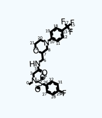 CN(CC(=O)NCC1CN(c2ccc(C(F)(F)F)cc2)CCO1)S(=O)(=O)c1ccc(F)cc1